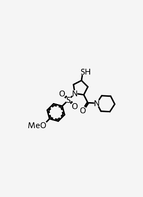 COc1ccc(S(=O)(=O)N2CC(S)CC2C(=O)N2CCCCC2)cc1